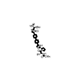 COC(=O)N[C@H](C(=O)N1CCC[C@H]1c1ncc(-c2ccc(-c3ccc(-c4cnc([C@@H](NCl)C(C)(C)C)n4Cl)cc3)cc2)[nH]1)C(C)C